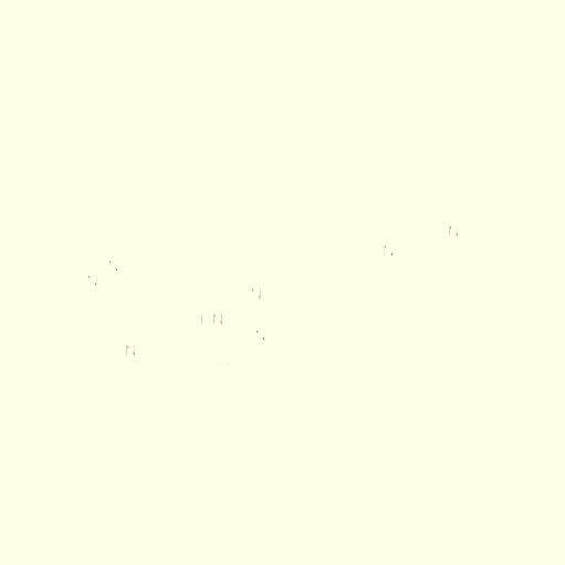 Cc1c(-c2cc(C(=O)Nc3nc4ccc(C5CCN(CCN(C)C)CC5)cc4n3[C@H]3CC[C@@H](O)CC3)ccn2)cnn1C